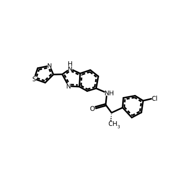 C[C@H](C(=O)Nc1ccc2[nH]c(-c3cscn3)nc2c1)c1ccc(Cl)cc1